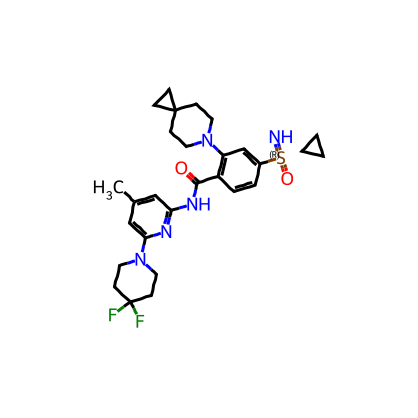 Cc1cc(NC(=O)c2ccc([S@](=N)(=O)C3CC3)cc2N2CCC3(CC2)CC3)nc(N2CCC(F)(F)CC2)c1